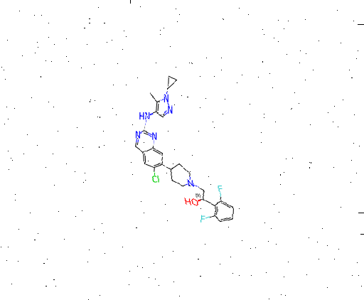 Cc1c(Nc2ncc3cc(Cl)c(C4CCN(C[C@H](O)c5c(F)cccc5F)CC4)cc3n2)cnn1C1CC1